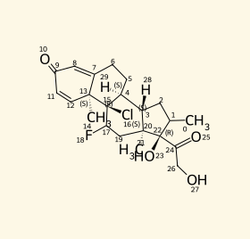 CC1C[C@H]2[C@@H]3CCC4=CC(=O)C=C[C@]4(C)[C@@]3(Cl)C(F)C[C@]2(C)[C@@]1(O)C(=O)CO